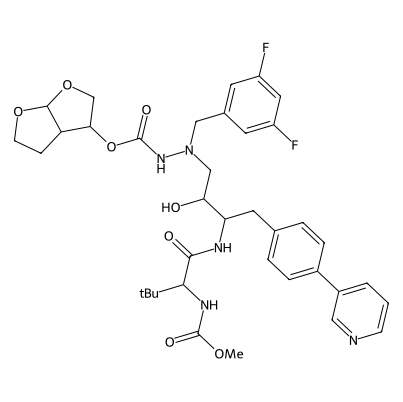 COC(=O)NC(C(=O)NC(Cc1ccc(-c2cccnc2)cc1)C(O)CN(Cc1cc(F)cc(F)c1)NC(=O)OC1COC2OCCC12)C(C)(C)C